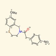 COc1ccc2c(c1)CN(C(=O)Cc1ccc([N+](=O)[O-])cc1)CCS2